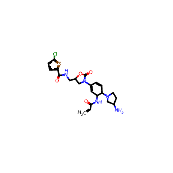 C=CC(=O)NC1C=C(N2CC(CNC(=O)c3ccc(Cl)s3)OC2=O)C=CC1N1CCC(N)C1